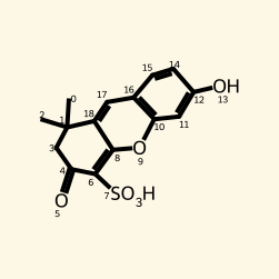 CC1(C)CC(=O)C(S(=O)(=O)O)=C2Oc3cc(O)ccc3C=C21